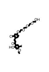 CCOc1cc(O)c(C(=O)/C=C/c2ccc(OCCOCCOCCOCCO)cc2Cl)cc1I